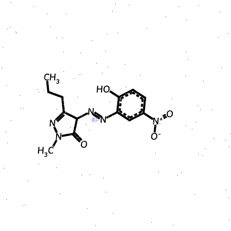 CCCC1=NN(C)C(=O)C1/N=N/c1cc([N+](=O)[O-])ccc1O